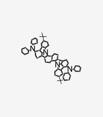 CC(C)(C)c1ccc2c(c1)c1c(N(c3ccccc3)c3ccccc3)ccc3c4ccc5c(ccc6c7ccc(N(c8ccccc8)c8ccccc8)c8c9cc(C(C)(C)C)ccc9n(c56)c78)c4n2c31